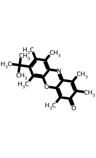 Cc1c2nc3c(C)c(C)c(C(C)(C)C)c(C)c3oc-2c(C)c(=O)c1C